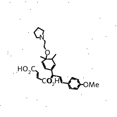 COc1ccc(C=CC(=O)C2=CC(C)C(C)(OCCN3CCCC3)C=C2)cc1.O=C(O)C=CC(=O)O